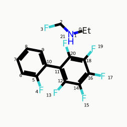 CCNCF.Fc1ccccc1-c1c(F)c(F)c(F)c(F)c1F